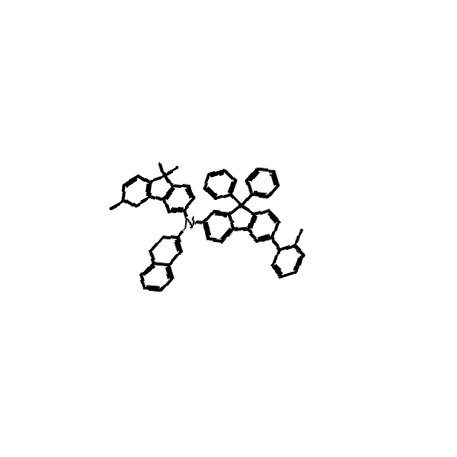 CC1C=CC2=C(C1)c1cc(N(C3=Cc4ccccc4CC3)c3ccc4c(c3)C(c3ccccc3)(c3ccccc3)c3ccc(C5C=CC=CC5C)cc3-4)ccc1C2(C)C